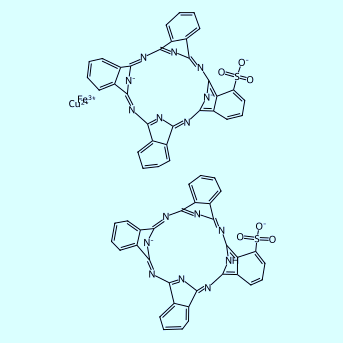 O=S(=O)([O-])c1cccc2c3nc4nc(nc5[n-]c(nc6nc(nc([n-]3)c12)-c1ccccc1-6)c1ccccc51)-c1ccccc1-4.O=S(=O)([O-])c1cccc2c3nc4nc(nc5[n-]c(nc6nc(nc([nH]3)c12)-c1ccccc1-6)c1ccccc51)-c1ccccc1-4.[Cu+2].[Fe+3]